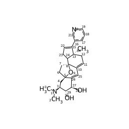 CN(C)[C@H]1C[C@@]23CC[C@@]4(O2)C(=CC[C@]2(C)C(c5cccnc5)=CCC24)C=C3[C@@H](O)[C@@H]1O